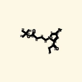 CCC(=O)c1cc(Br)cn1CCCC(=O)OC(C)(C)C